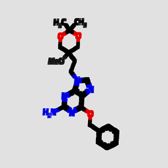 COC1(CCn2cnc3c(OCc4ccccc4)nc(N)nc32)COC(C)(C)OC1